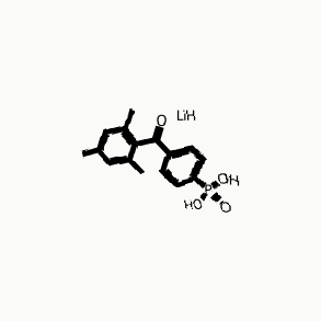 Cc1cc(C)c(C(=O)c2ccc(P(=O)(O)O)cc2)c(C)c1.[LiH]